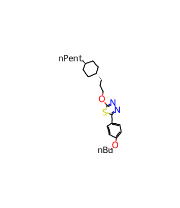 CCCCC[C@H]1CC[C@H](CCCOc2nnc(-c3ccc(OCCCC)cc3)s2)CC1